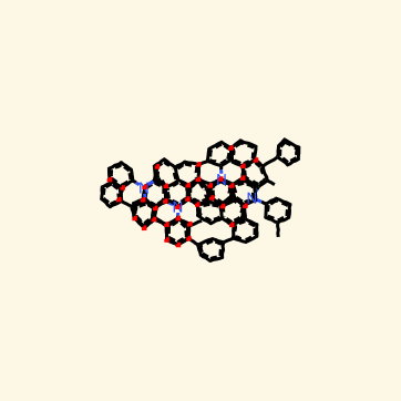 Cc1cccc(N(c2c(-c3ccccc3)ccc(-c3ccccc3)c2C)c2ccc3ccc4c(N(c5cccc(C)c5)c5c(-c6ccccc6)ccc(-c6cccc(-c7cccc(-c8ccc(-c9ccccc9)c(N(c9ccccc9C)c9ccc%10ccc%11c(N(c%12ccccc%12C)c%12c(-c%13ccccc%13)ccc(-c%13ccccc%13)c%12C)ccc%12ccc9c%10c%12%11)c8C)c7)c6)c5C)ccc5ccc2c3c54)c1